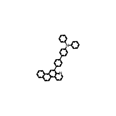 c1ccc(N(c2ccccc2)c2ccc(-c3ccc(-c4cc5c6ccccc6ccc5c5cccnc45)cc3)cc2)cc1